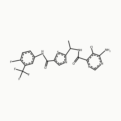 CC(NC(=O)c1ncnc(N)c1Cl)c1ncc(C(=O)Nc2ccc(F)c(C(F)(F)F)c2)s1